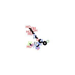 CCn1c(-c2nonc2N)nc2c(-c3cccc(Cl)c3)ncc(OCCCNC[C@H](O)[C@@H](O)[C@H](O)[C@H](O)CO)c21.O=C(O)C(F)(F)F